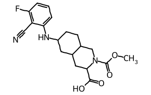 COC(=O)N1CC2CCC(Nc3cccc(F)c3C#N)CC2CC1C(=O)O